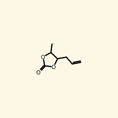 [CH2]C1OC(=O)OC1CC=C